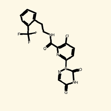 O=C(NCCc1ccccc1C(F)(F)F)c1nc(-n2ncc(=O)[nH]c2=O)ccc1Cl